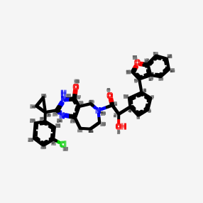 O=C(C(O)c1cccc(-c2coc3ccccc23)c1)N1CCCc2nc(C3(c4cccc(Cl)c4)CC3)[nH]c(=O)c2C1